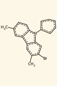 Cc1ccc2c(c1)c1cc(C)c(Br)cc1n2-c1ccccc1